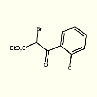 CCOC(=O)C(Br)C(=O)c1ccccc1Cl